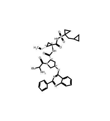 C=C[C@@H]1C[C@]1(NC(=O)[C@@H]1C[C@@H](Oc2nc(-c3ccccc3)nc3ccccc23)CN1C(=O)C(N)C(C)(C)C)C(=O)NS(=O)(=O)C1(CC2CC2)CC1